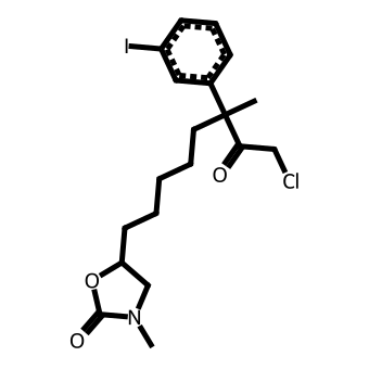 CN1CC(CCCCCC(C)(C(=O)CCl)c2cccc(I)c2)OC1=O